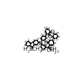 CC1(C)c2ccccc2-c2ccc(N(c3ccc(-c4cccc5c4Oc4ccccc4O5)cc3)c3cccc4c3Oc3ccccc3C4(C)C)cc21